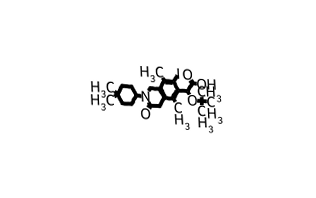 Cc1c(I)c(C(OC(C)(C)C)C(=O)O)c(C)c2c1CN(C1CCC(C)(C)CC1)C(=O)C2